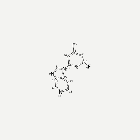 Fc1cc(F)cc(-n2cnc3cnccc32)c1